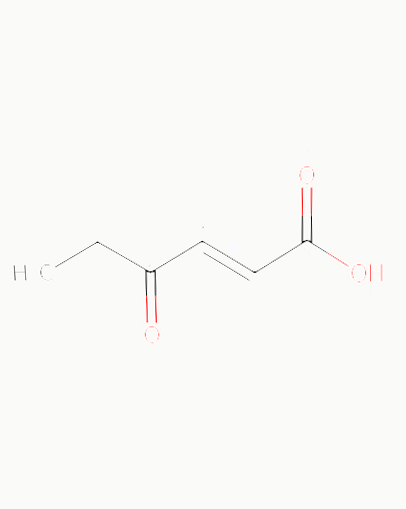 CCC(=O)/C=C/C(=O)O